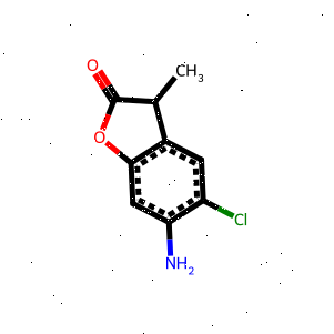 CC1C(=O)Oc2cc(N)c(Cl)cc21